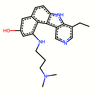 CCc1cncc2c1[nH]c1ccc3cc(O)cc(NCCCN(C)C)c3c12